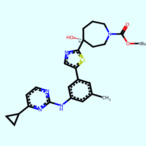 Cc1cc(Nc2nccc(C3CC3)n2)cc(-c2cnc([C@@]3(O)CCCN(C(=O)OC(C)(C)C)CC3)s2)c1